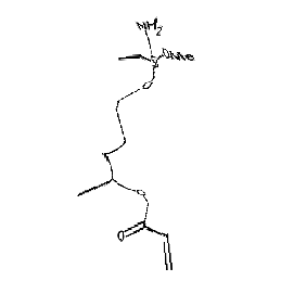 C=CC(=O)OC(C)CCCO[Si](C)(N)OC